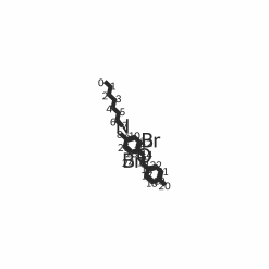 CCCCCCCN=Cc1cc(Br)c(OCc2ccc(C)cc2)c(Br)c1